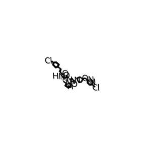 O=C(C=Cc1ccc(Cl)cc1)N[C@@H](Cc1ccccn1)C(=O)NCC(=O)N1CCC(Oc2ccc(Cl)nn2)CC1